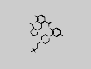 O=C(Nc1ccc(Cl)cc1N1CCN(CCC(F)(F)F)CC1)c1ccc(F)c(F)c1CN1CCCC1CO